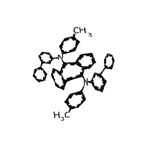 Cc1ccc(N(c2cccc(-c3ccccc3)c2)c2c3ccccc3c(N(c3ccc(C)cc3)c3cccc(-c4ccccc4)c3)c3ccccc23)cc1